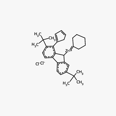 CC(C)(C)c1ccc2c(c1)[CH]([Zr+2]=[C]1CCCCC1)c1c-2ccc(C(C)(C)C)c1C1=CC=CC1.[Cl-].[Cl-]